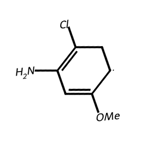 COC1=CC(N)=C(Cl)C[CH]1